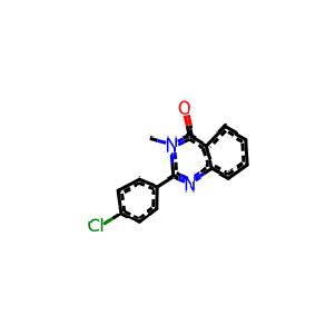 Cn1c(-c2ccc(Cl)cc2)nc2ccccc2c1=O